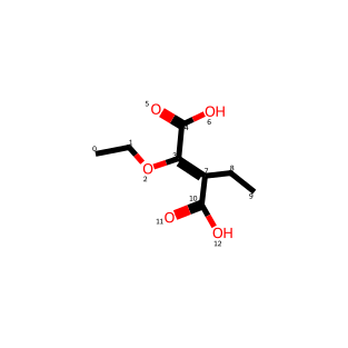 CCOC(C(=O)O)=C(CC)C(=O)O